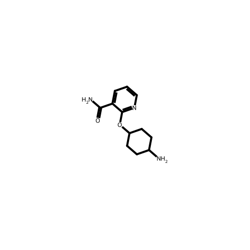 NC(=O)c1cccnc1OC1CCC(N)CC1